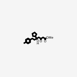 COC(=O)CC(=O)CC(O)(CCc1ccc(C)cc1)C1CCCC1